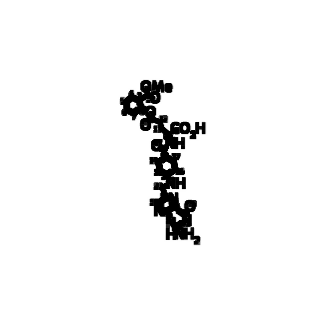 COC(=O)c1ccccc1OC(=O)CC[C@H](NC(=O)c1ccc(NCc2cnc3[nH]c(N)nc(=O)c3n2)cc1)C(=O)O